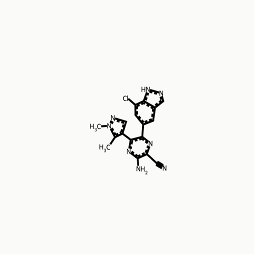 Cc1c(-c2nc(N)c(C#N)nc2-c2cc(Cl)c3[nH]ncc3c2)cnn1C